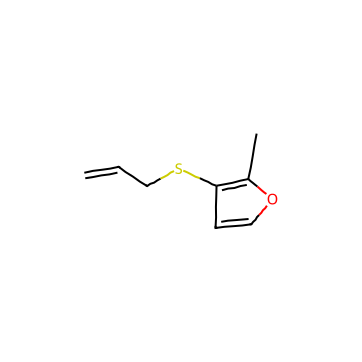 C=CCSc1ccoc1C